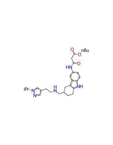 CCCCOC(=O)CC(=O)Nc1ccc2[nH]c3c(c2c1)CC(CNCCc1cnn(C(C)C)c1)CC3